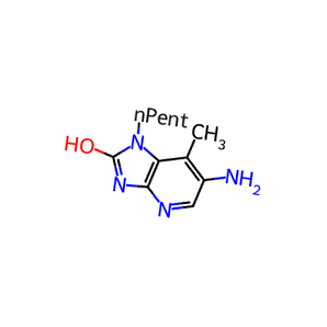 CCCCCn1c(O)nc2ncc(N)c(C)c21